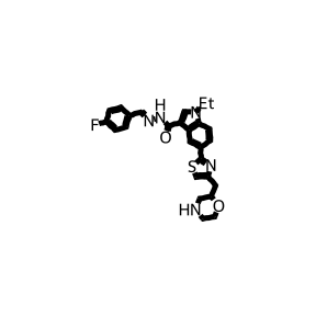 CCn1cc(C(=O)NN=Cc2ccc(F)cc2)c2cc(-c3nc(CC4CNCCO4)cs3)ccc21